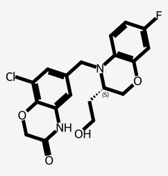 O=C1COc2c(Cl)cc(CN3c4ccc(F)cc4OC[C@@H]3CCO)cc2N1